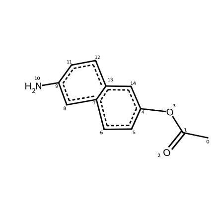 CC(=O)Oc1ccc2cc(N)ccc2c1